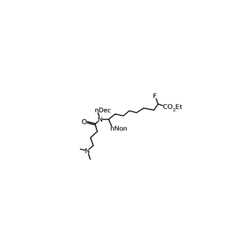 CCCCCCCCCCN(C(=O)CCCN(C)C)C(CCCCCCCCC)CCCCCCC(F)C(=O)OCC